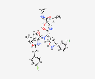 CCC[C@H](NC(=O)[C@@H]1C[C@]2(CC(c3cccc(Cl)c3)=NO2)CN1C(=O)[C@@H](NC(=O)CCc1ccc(F)cc1)C(C)(C)C)C(=O)C(=O)NC1CC1